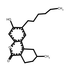 CCCCCCc1cc2c3c(c(=O)oc2cc1O)CCC(C)C3